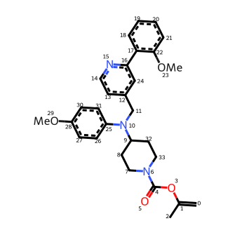 C=C(C)OC(=O)N1CCC(N(Cc2ccnc(-c3ccccc3OC)c2)c2ccc(OC)cc2)CC1